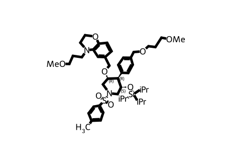 COCCCOCc1ccc([C@@H]2[C@@H](OCc3ccc4c(c3)N(CCCOC)CCO4)CN(S(=O)(=O)c3ccc(C)cc3)C[C@H]2O[Si](C(C)C)(C(C)C)C(C)C)cc1